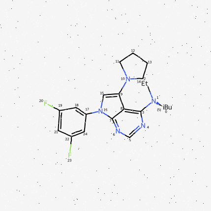 CC[C@H](C)N(CC)c1ncnc2c1c(N1CCCC1)cn2-c1cc(F)cc(F)c1